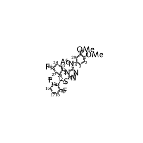 COc1ccc(N(C(C)=O)c2nnc(SCc3c(F)cccc3F)n2-c2ccc(F)cc2)cc1OC